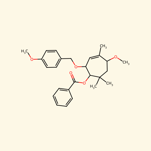 COc1ccc(COC2C=C(C)C(OC)CC(C)(C)C2OC(=O)c2ccccc2)cc1